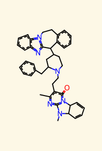 Cc1nc2n(c(=O)c1CCN1CCC(C3c4ccccc4CCn4c3nc3ccccc34)CC1Cc1ccccc1)C1C=CC=CC1N2C